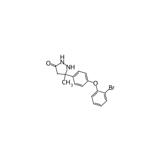 CC1(c2ccc(Oc3ccccc3Br)cc2)CC(=O)NN1